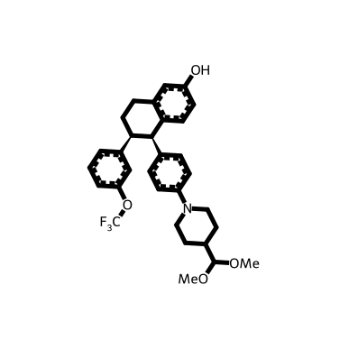 COC(OC)C1CCN(c2ccc([C@@H]3c4ccc(O)cc4CC[C@@H]3c3cccc(OC(F)(F)F)c3)cc2)CC1